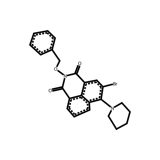 O=C1c2cccc3c(N4CCCCC4)c(Br)cc(c23)C(=O)N1OCc1ccccc1